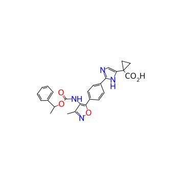 Cc1noc(-c2ccc(-c3ncc(C4(C(=O)O)CC4)[nH]3)cc2)c1NC(=O)OC(C)c1ccccc1